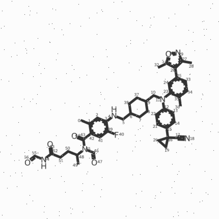 Cc1cc(NCC2CCC(CN(c3ccc(C4(C#N)CC4)cc3)c3cc(-c4c(C)noc4C)ccc3C)CC2)c(F)cc1C(=O)N(C=O)C(C)CCC(=O)NC=O